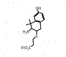 CCOC(=O)CCSC1Cc2ccc(O)cc2C(C)(C)C1N